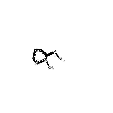 Cn1ncccc1=NN